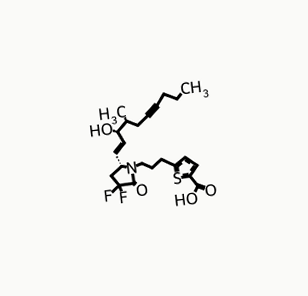 CCCC#CC[C@H](C)[C@H](O)C=C[C@H]1CC(F)(F)C(=O)N1CCCc1ccc(C(=O)O)s1